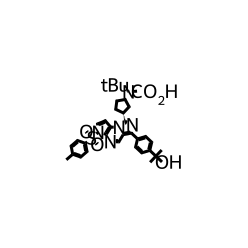 Cc1ccc(S(=O)(=O)n2ccc3c2ncc2c(-c4ccc(C(C)(C)O)cc4)nc([C@@H]4CC[C@H](N(C(=O)O)C(C)(C)C)C4)n23)cc1